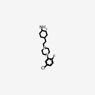 NC1CCC(CCN2CCN(c3cc(Cl)ccc3F)CC2)CC1